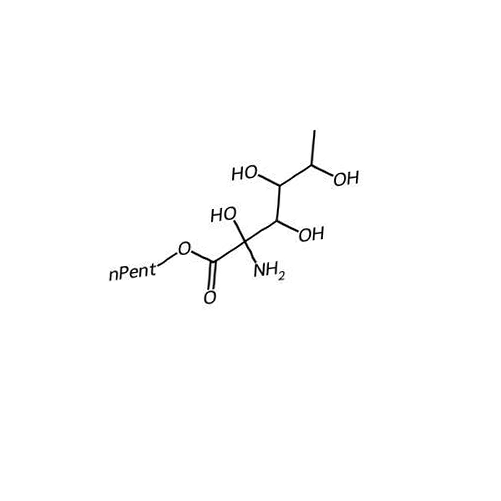 CCCCCOC(=O)C(N)(O)C(O)C(O)C(C)O